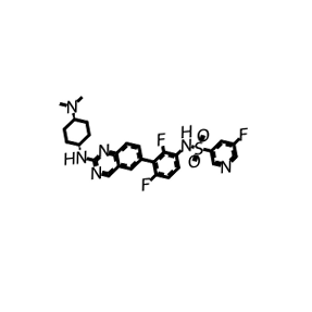 CN(C)[C@H]1CC[C@H](Nc2ncc3cc(-c4c(F)ccc(NS(=O)(=O)c5cncc(F)c5)c4F)ccc3n2)CC1